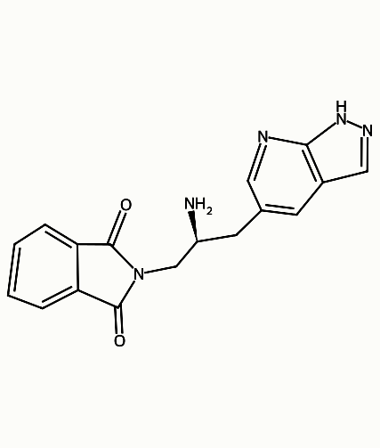 N[C@@H](Cc1cnc2[nH]ncc2c1)CN1C(=O)c2ccccc2C1=O